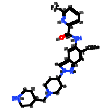 COc1cc2nn(C3CCN(CC4CCNCC4)CC3)cc2cc1NC(=O)c1cccc(C(F)(F)F)n1